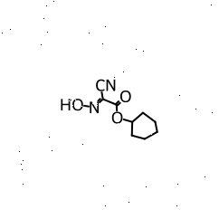 N#CC(=NO)C(=O)OC1CCCCC1